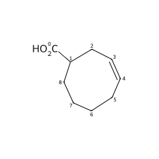 O=C(O)C1CC=CCCCC1